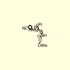 CCCc1cc(N2CC[C@H](NC(=O)COCCOC)C2)nc(Nc2cccc(C#N)c2)n1